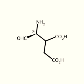 N[C@H](C=O)C(CC(=O)O)C(=O)O